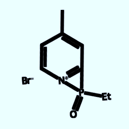 CCP1(=O)c2cc(C)cc[n+]21.[Br-]